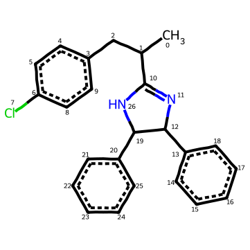 CC(Cc1ccc(Cl)cc1)C1=NC(c2ccccc2)C(c2ccccc2)N1